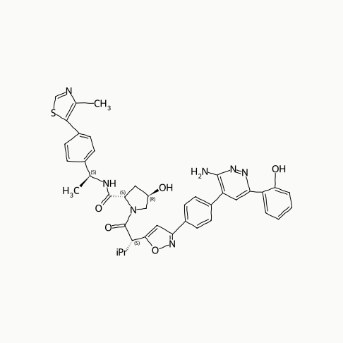 Cc1ncsc1-c1ccc([C@H](C)NC(=O)[C@@H]2C[C@@H](O)CN2C(=O)[C@H](c2cc(-c3ccc(-c4cc(-c5ccccc5O)nnc4N)cc3)no2)C(C)C)cc1